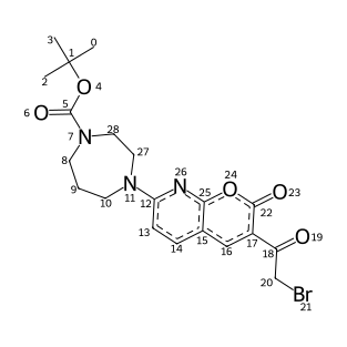 CC(C)(C)OC(=O)N1CCCN(c2ccc3cc(C(=O)CBr)c(=O)oc3n2)CC1